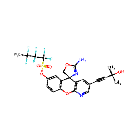 CC(C)(O)C#Cc1cnc2c(c1)[C@]1(COC(N)=N1)c1cc(OS(=O)(=O)C(F)(F)C(F)(F)C(F)(F)C(F)(F)F)ccc1O2